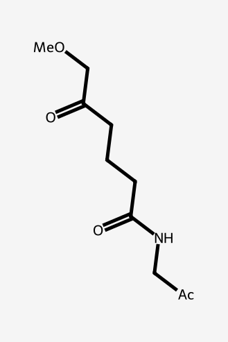 COCC(=O)CCCC(=O)NCC(C)=O